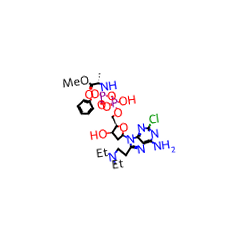 CCN(CC)CCc1nc2c(N)nc(Cl)nc2n1[C@H]1C[C@@H](O)[C@@H](COP(=O)(O)OP(=O)(N[C@@H](C)C(=O)OC)Oc2ccccc2)O1